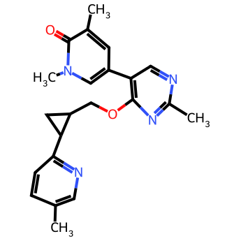 Cc1ccc(C2CC2COc2nc(C)ncc2-c2cc(C)c(=O)n(C)c2)nc1